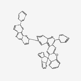 c1ccc(-c2ccc3ccc4ccc(-c5ccc6nc(-c7ccccc7)c7cc8c(cc7c6c5)C5(c6ccccc6O8)c6ccccc6-c6ccccc65)nc4c3n2)cc1